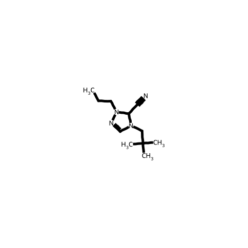 CCCN1N=CN(CC(C)(C)C)C1C#N